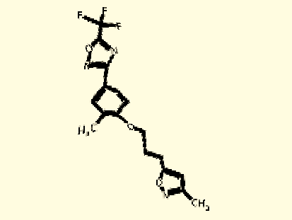 Cc1cc(CCCOc2ccc(-c3noc(C(F)(F)F)n3)cc2C)on1